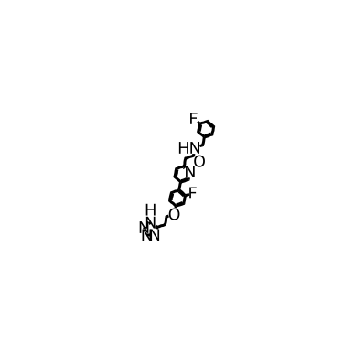 O=C(Cc1ccc(-c2ccc(OCCc3nnn[nH]3)cc2F)cn1)NCc1cccc(F)c1